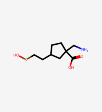 NCC1(C(=O)O)CCC(CCSO)C1